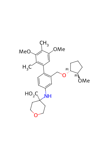 COc1cc(-c2ccc(NC3(C(=O)O)CCOCC3)cc2CO[C@@H]2CCC[C@H]2OC)c(C)c(OC)c1C